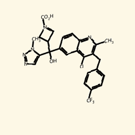 Cc1nc2ccc(C(O)(c3cnnn3C)C3CN(C(=O)O)C3)cc2c(Cl)c1Cc1ccc(C(F)(F)F)cc1